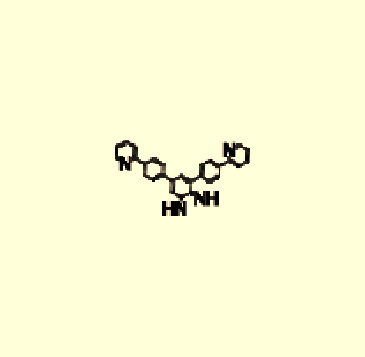 N=C1C=C(c2ccc(-c3ccccn3)cc2)C=C(c2ccc(-c3ccccn3)cc2)C1=N